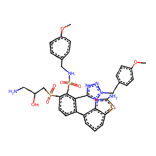 COc1ccc(CNS(=O)(=O)c2c(S(=O)(=O)CC(O)CN)ccc(-c3cccc4sc(N)nc34)c2-c2nnn(Cc3ccc(OC)cc3)n2)cc1